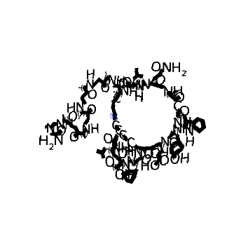 CC(=O)N[C@@H](CC(C)C)C(=O)C(=O)[C@@H](NN[C@@H](Cc1ccccc1)C(=O)N[C@]1(C)CCCCCC/C=C/CCC[C@@](C)(C(=O)CN[C@@H](C)C(=O)CCN[C@@H](C)C(=O)CCN[C@@H](C)C(=O)CCN[C@@H](C)C(=O)CCC(=O)[C@H](C)NCN(C)CC(N)=O)NC(=O)[C@H](CC(C)C)NN[C@@H](CCC(N)=O)C(=O)CN[C@@H](C)C(=O)CC(=O)[C@H](Cc2c[nH]c3ccccc23)NN[C@@H](Cc2ccc(O)cc2)C(=O)N[C@@H](CCC(=O)O)C(=O)C1=O)[C@@H](C)O